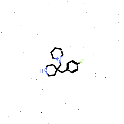 Fc1ccc(CC2(CN3CCCCC3)CCNCC2)cc1